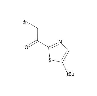 CC(C)(C)c1cnc(C(=O)CBr)s1